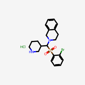 Cl.O=S(=O)(c1ccccc1Br)C(C1CCCNC1)N1CCc2ccccc2C1